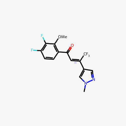 COc1c(C(=O)/C=C(/c2cnn(C)c2)C(F)(F)F)ccc(F)c1F